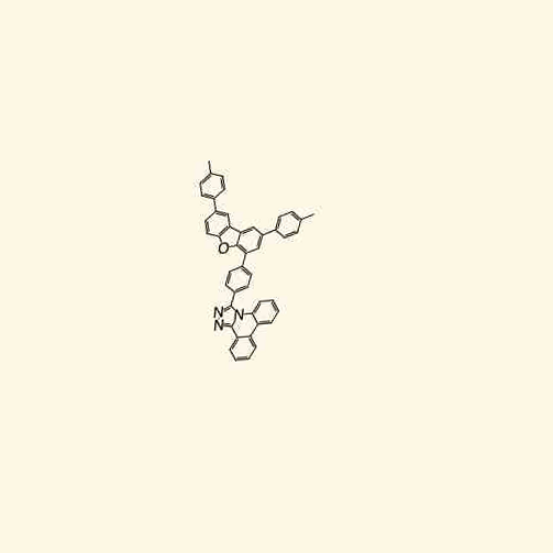 Cc1ccc(-c2ccc3oc4c(-c5ccc(-c6nnc7c8ccccc8c8ccccc8n67)cc5)cc(-c5ccc(C)cc5)cc4c3c2)cc1